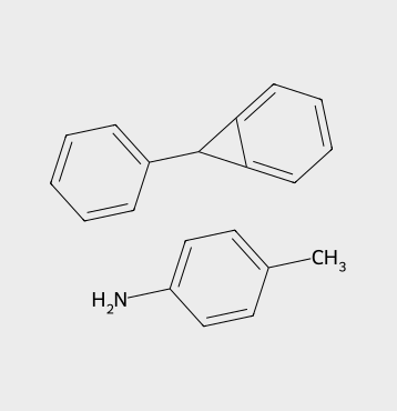 Cc1ccc(N)cc1.c1ccc(C2c3ccccc32)cc1